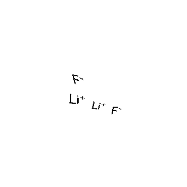 [F-].[F-].[Li+].[Li+]